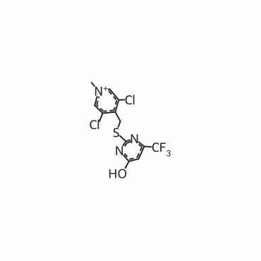 C[n+]1cc(Cl)c(CSc2nc(O)cc(C(F)(F)F)n2)c(Cl)c1